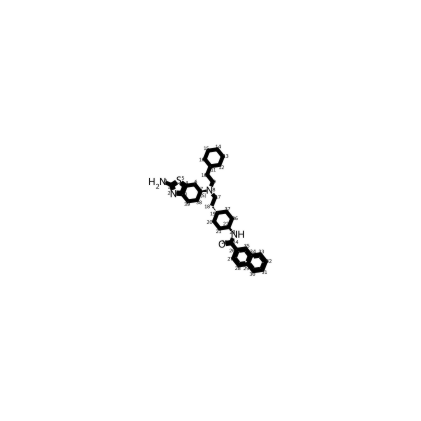 Nc1nc2c(s1)C[C@@H](N(CCC1CCCCC1)CC[C@H]1CC[C@H](NC(=O)c3ccc4ccccc4c3)CC1)CC2